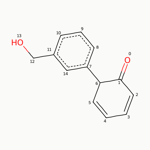 O=C1C=CC=CC1c1cccc(CO)c1